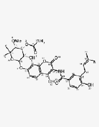 CO[C@@H]1[C@H](OC(N)=O)[C@H](O)C(Oc2ccc3c(O)c(NC(=O)c4ccc(O)c(CC=C(C)C)c4)c(=O)oc3c2)OC1(C)C